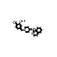 CCOc1cc(CN2CCC(Nc3nccc4ccccc34)CC2)ccc1Cl